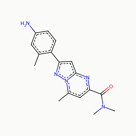 Cc1cc(N)ccc1-c1cc2nc(C(=O)N(C)C)cc(C)n2n1